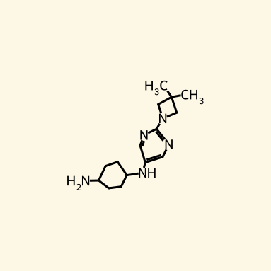 CC1(C)CN(c2ncc(NC3CCC(N)CC3)cn2)C1